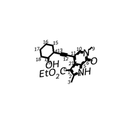 CCOC(=O)c1c(C)[nH]c2c(=O)n(C)cc(C#CC3CCCCC3O)c12